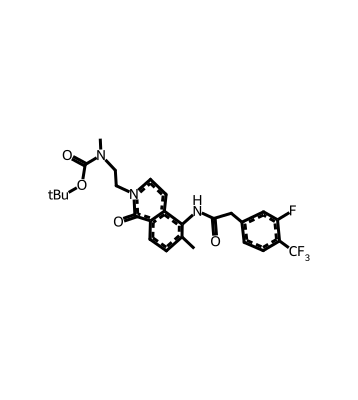 Cc1ccc2c(=O)n(CCN(C)C(=O)OC(C)(C)C)ccc2c1NC(=O)Cc1ccc(C(F)(F)F)c(F)c1